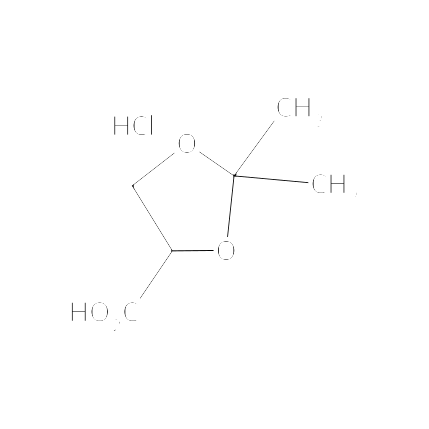 CC1(C)OCC(C(=O)O)O1.Cl